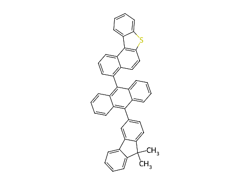 CC1(C)c2ccccc2-c2cc(-c3c4ccccc4c(-c4cccc5c4ccc4sc6ccccc6c45)c4ccccc34)ccc21